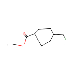 CCCOC(=O)C1CCC(CCl)CC1